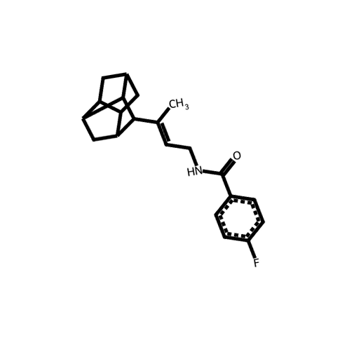 C/C(=C\CNC(=O)c1ccc(F)cc1)C1C2CC3C4CC(CC42)C31